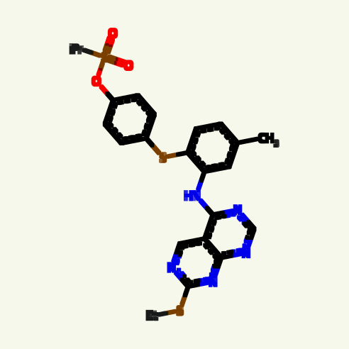 CCSc1ncc2c(Nc3cc(C)ccc3Sc3ccc(OS(=O)(=O)C(C)C)cc3)ncnc2n1